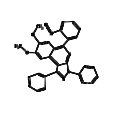 COc1cc2c(-c3ccccc3N=O)nc3c(c(-c4ccccc4)nn3-c3ccccc3)c2cc1OC